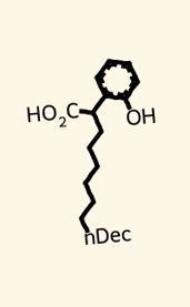 CCCCCCCCCCCCCCCCC(C(=O)O)c1ccccc1O